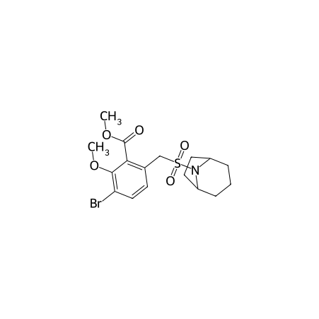 COC(=O)c1c(CS(=O)(=O)N2C3CCCC2CC3)ccc(Br)c1OC